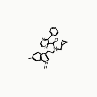 Cc1ccc2c(CCN(CC3CC3)C(=O)c3nccnc3-c3ccccc3)c[nH]c2c1